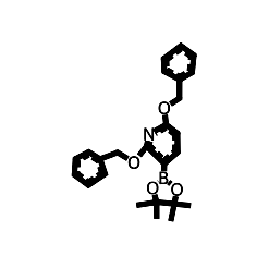 CC1(C)OB(c2ccc(OCc3ccccc3)nc2OCc2ccccc2)OC1(C)C